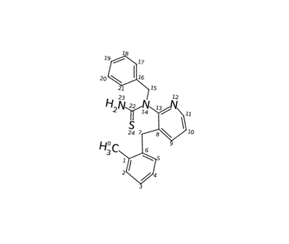 Cc1ccccc1Cc1cccnc1N(Cc1ccccc1)C(N)=S